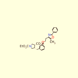 CCOC(=O)N1C[C@@H](Cc2cccc(OCCc3nc(-c4ccccc4)oc3C)c2)[C@@H](C(=O)O)C1